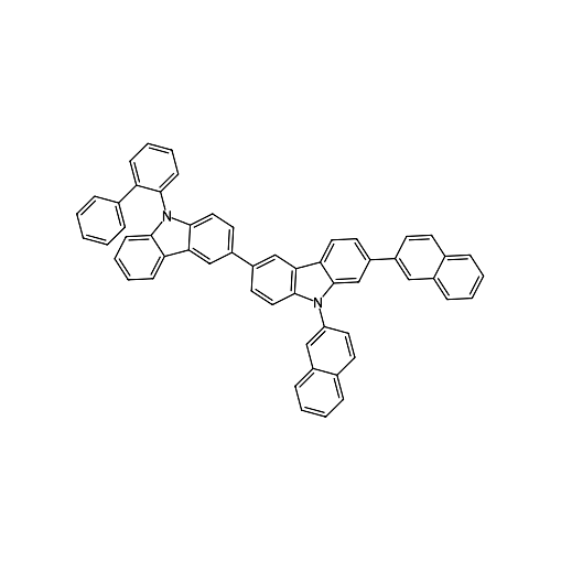 c1ccc(-c2ccccc2-n2c3ccccc3c3cc(-c4ccc5c(c4)c4ccc(-c6ccc7ccccc7c6)cc4n5-c4ccc5ccccc5c4)ccc32)cc1